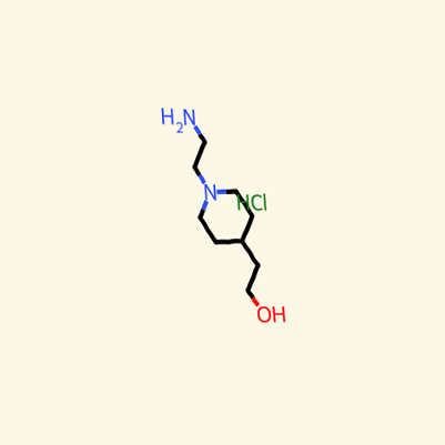 Cl.NCCN1CCC(CCO)CC1